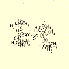 CCCCC(CCCOC(=O)CCC(=O)OCCCC(CCCC)(C(=O)OC1CC(C)(C)NC(C)(C)C1)C(O)OC1CC(C)(C)NC(C)(C)C1)(C(=O)OC1CC(C)(C)NC(C)(C)C1)C(=O)OC1CC(C)(C)NC(C)(C)C1